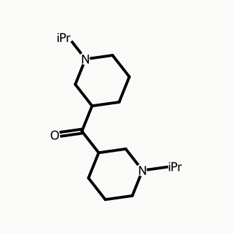 CC(C)N1CCCC(C(=O)C2CCCN(C(C)C)C2)C1